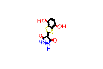 O=C1NNC(=O)C1=C1Sc2c(O)ccc(O)c2S1